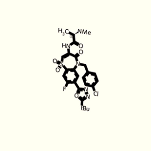 CN[C@@H](C)C(=O)NC1=CS(=O)(=O)c2cc(F)c(-c3nnc(C(C)(C)C)o3)cc2N(Cc2ccc(Cl)cc2)C1=O